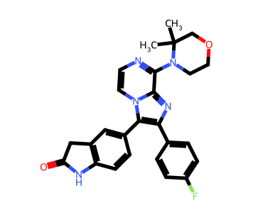 CC1(C)COCCN1c1nccn2c(-c3ccc4c(c3)CC(=O)N4)c(-c3ccc(F)cc3)nc12